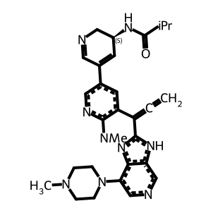 C=C=C(c1nc2c(N3CCN(C)CC3)cncc2[nH]1)c1cc(C2=C[C@H](NC(=O)C(C)C)CN=C2)cnc1NC